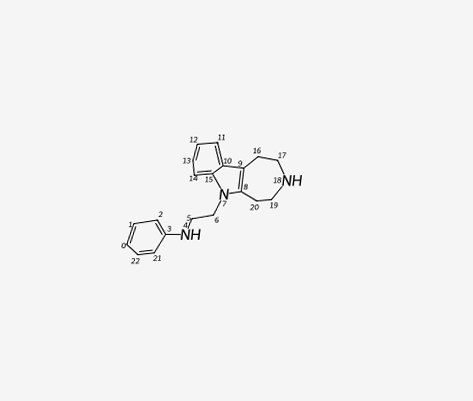 c1ccc(NCCn2c3c(c4ccccc42)CCNCC3)cc1